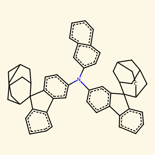 c1ccc2c(c1)-c1cc(N(c3ccc4c(c3)C3(c5ccccc5-4)C4CCC5CC(C4)CC3C5)c3ccc4ccccc4c3)ccc1C21C2CCC3CC(C2)CC1C3